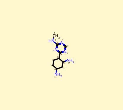 CNc1ncnc(C2CCC(N)CC2N)n1